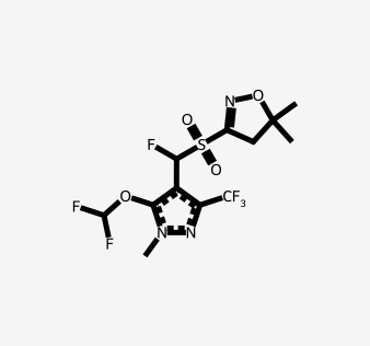 Cn1nc(C(F)(F)F)c(C(F)S(=O)(=O)C2=NOC(C)(C)C2)c1OC(F)F